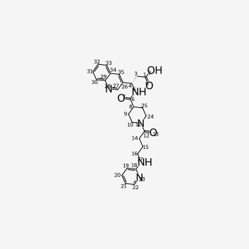 O=C(O)C[C@H](NC(=O)C1CCN(C(=O)CCCNc2ccccn2)CC1)c1cnc2ccccc2c1